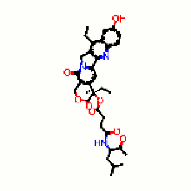 CCc1c2c(nc3ccc(O)cc13)-c1cc3c(c(=O)n1C2)COC(=O)[C@@]3(CC)OC(=O)CCC(=O)NC(CC(C)C)C(C)=O